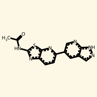 CC(=O)Nc1nc2ccc(-c3cnc4[nH]ncc4c3)nc2s1